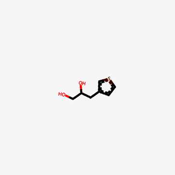 OCC(O)[CH]c1ccsc1